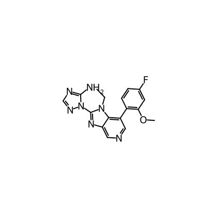 CCn1c(-n2ncnc2N)nc2cncc(-c3ccc(F)cc3OC)c21